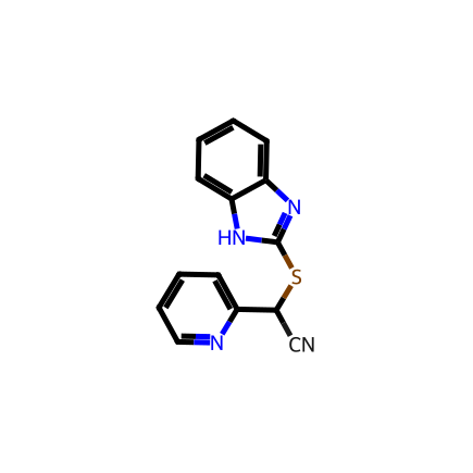 N#CC(Sc1nc2ccccc2[nH]1)c1ccccn1